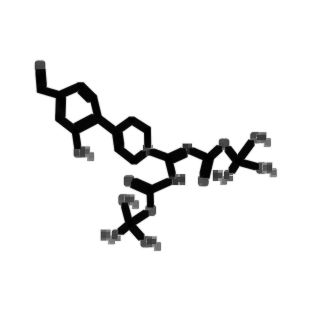 Cc1cc(C=O)ccc1C1=CCN(C(=NC(=O)OC(C)(C)C)NC(=O)OC(C)(C)C)CC1